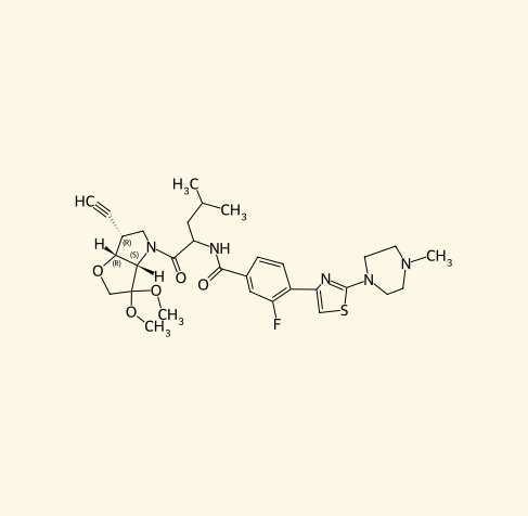 C#C[C@@H]1CN(C(=O)C(CC(C)C)NC(=O)c2ccc(-c3csc(N4CCN(C)CC4)n3)c(F)c2)[C@H]2[C@@H]1OCC2(OC)OC